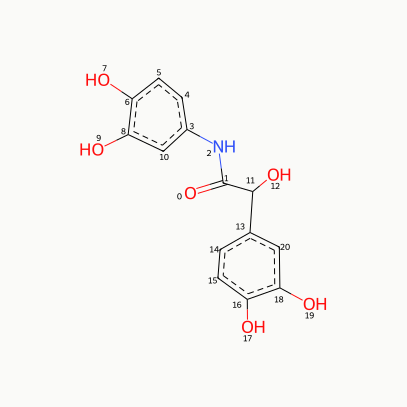 O=C(Nc1ccc(O)c(O)c1)C(O)c1ccc(O)c(O)c1